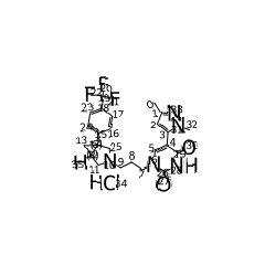 Cc1cc(-c2cn(CCCN3C[C@@H]4C[C@]4(c4ccc(C(F)(F)F)cc4)C3)c(=O)[nH]c2=O)n(C)n1.Cl